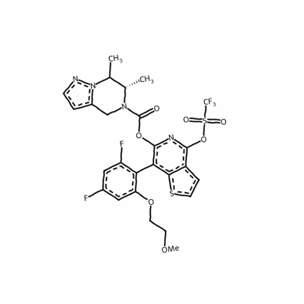 COCCOc1cc(F)cc(F)c1-c1c(OC(=O)N2Cc3ccnn3C(C)[C@@H]2C)nc(OS(=O)(=O)C(F)(F)F)c2ccsc12